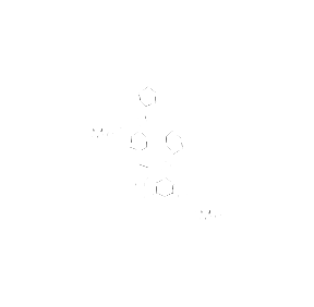 COCOc1cc(O)c(C(=O)C=Cc2ccc(OCc3ccccc3)c(OC)c2)c(OCc2ccccc2)c1